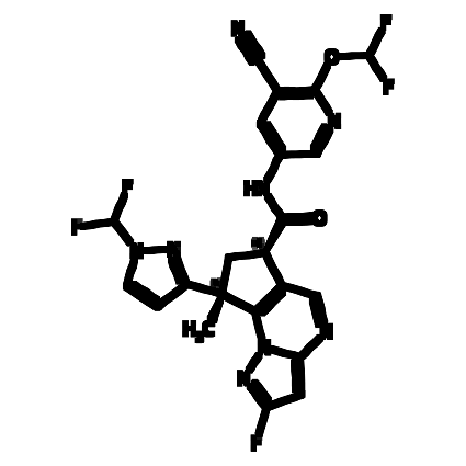 C[C@@]1(c2ccn(C(F)F)n2)C[C@@H](C(=O)Nc2cnc(OC(F)F)c(C#N)c2)c2cnc3cc(F)nn3c21